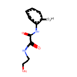 O=C(NCCO)C(=O)Nc1ccccc1C(=O)O